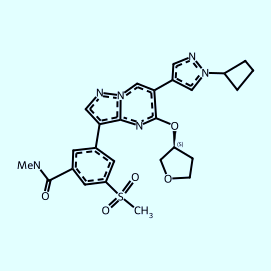 CNC(=O)c1cc(-c2cnn3cc(-c4cnn(C5CCC5)c4)c(O[C@H]4CCOC4)nc23)cc(S(C)(=O)=O)c1